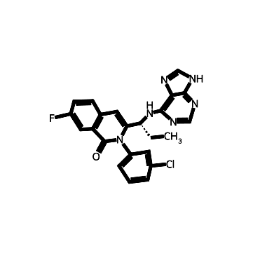 CC[C@@H](Nc1ncnc2[nH]cnc12)c1cc2ccc(F)cc2c(=O)n1-c1cccc(Cl)c1